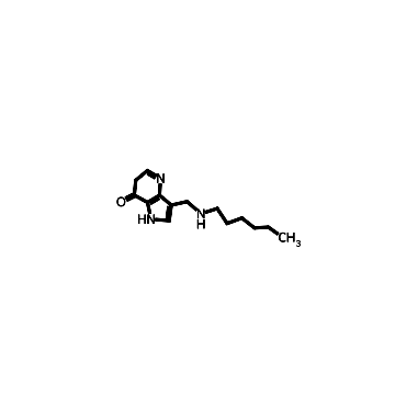 CCCCCCNCc1c[nH]c2c1N=CCC2=O